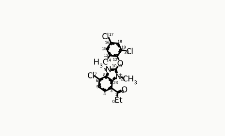 CCC(=O)c1ccc(Cl)c2nc(Oc3c(C)cc(Cl)cc3Cl)n(C)c12